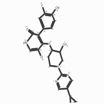 CC1CN(c2ncc(C3CC3)cn2)CCC1Oc1c(Cl)c[nH]c(=O)c1-c1ccc(C#N)c(F)c1